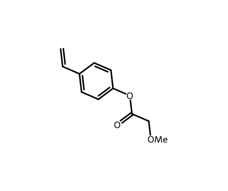 C=Cc1ccc(OC(=O)COC)cc1